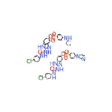 O=C(Nc1ccc(Cl)cc1)Nc1nc2cc(OS(=O)(=O)c3ccc(-n4ccnc4)cc3)ccc2[nH]1.O=C(Nc1ccc(Cl)cc1)Nc1nc2cc(OS(=O)(=O)c3ccc(NC4CCCC4)cc3)ccc2[nH]1